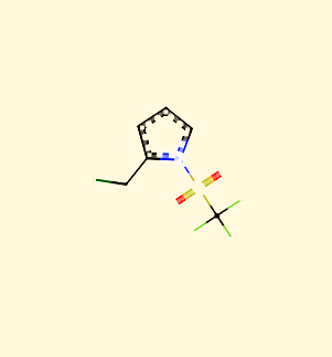 O=S(=O)(n1cccc1CCl)C(F)(F)F